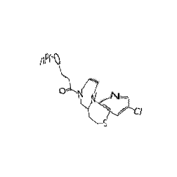 CCCOCCC(=O)N1CCN2c3ncc(Cl)cc3SCCC2C1